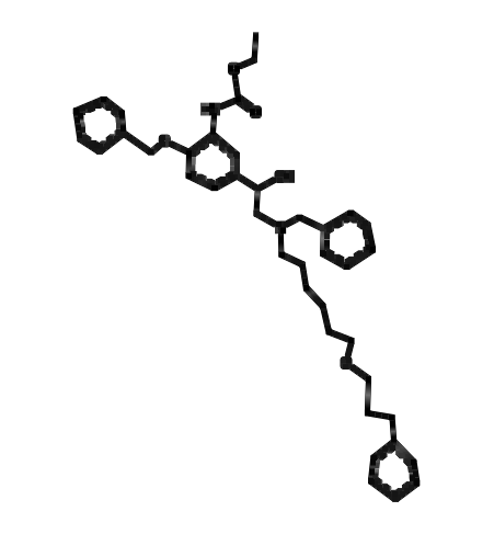 CCOC(=O)Nc1cc(C(O)CN(CCCCCCOCCCc2ccccc2)Cc2ccccc2)ccc1OCc1ccccc1